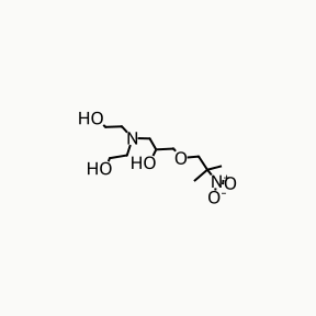 CC(C)(COCC(O)CN(CCO)CCO)[N+](=O)[O-]